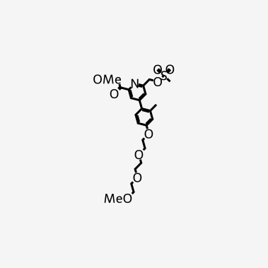 COCCOCCOCCOc1ccc(-c2cc(COS(C)(=O)=O)nc(C(=O)OC)c2)c(C)c1